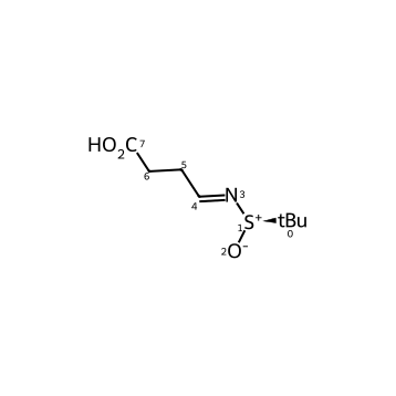 CC(C)(C)[S@@+]([O-])N=CCCC(=O)O